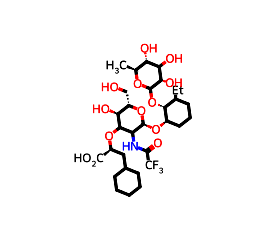 CCC1CCC[C@@H](O[C@@H]2O[C@@H](CO)[C@H](O)C(O[C@@H](CC3CCCCC3)C(=O)O)C2NC(=O)C(F)(F)F)[C@@H]1OC1O[C@@H](C)[C@H](O)C(O)[C@@H]1O